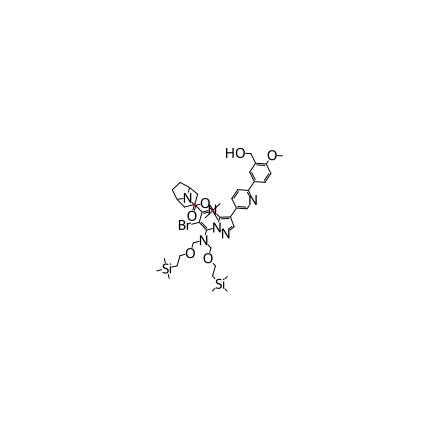 COc1ccc(-c2ccc(-c3cnn4c(N(COCC[Si](C)(C)C)COCC[Si](C)(C)C)c(Br)c(C5CC6CCC(C5)N6C(=O)OC(C)(C)C)nc34)cn2)cc1CO